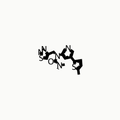 Cc1ccc(-c2cncc(N(Cc3csnn3)C(=O)N(C)C)c2)s1